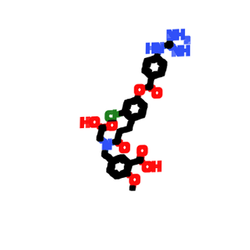 COc1ccc(CN(CC(=O)O)C(=O)CCc2ccc(OC(=O)c3ccc(NC(=N)N)cc3)cc2Cl)cc1C(=O)O